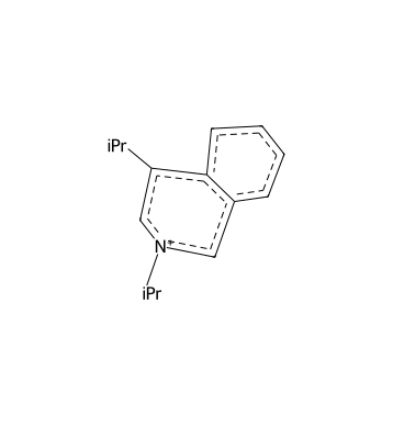 CC(C)c1c[n+](C(C)C)cc2ccccc12